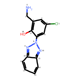 NCc1cc(Cl)cc(-n2nc3ccccc3n2)c1O